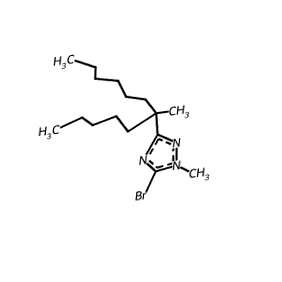 CCCCCCC(C)(CCCCC)c1nc(Br)n(C)n1